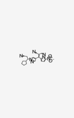 N#CCC(C1CCCC1)n1cc(-c2c(C#N)cnn3c([N+](=O)[O-])ccc23)cn1